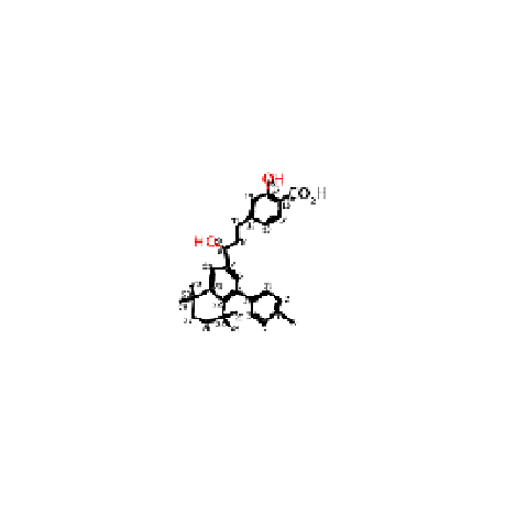 Cc1ccc(-c2cc(C(O)/C=C/c3ccc(C(=O)O)c(O)c3)cc3c2C(C)(C)CCC3(C)C)cc1